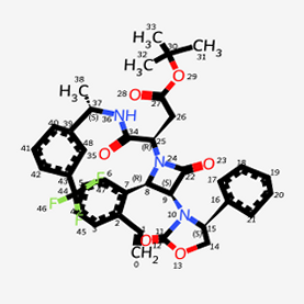 C=Cc1ccccc1[C@@H]1[C@H](N2C(=O)OC[C@@H]2c2ccccc2)C(=O)N1[C@H](CC(=O)OC(C)(C)C)C(=O)N[C@@H](C)c1cccc(C(F)(F)F)c1